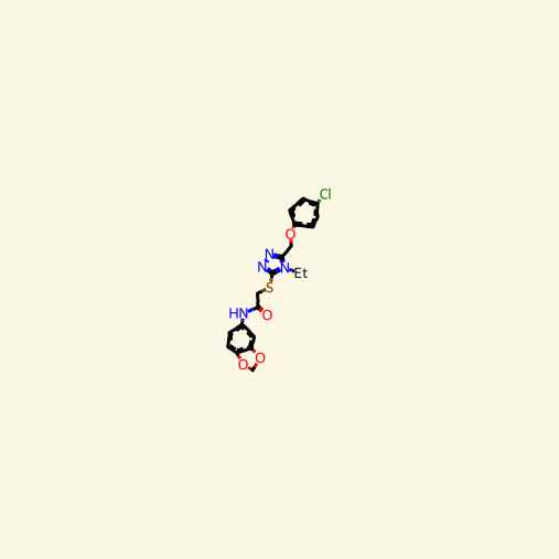 CCn1c(COc2ccc(Cl)cc2)nnc1SCC(=O)Nc1ccc2c(c1)OCO2